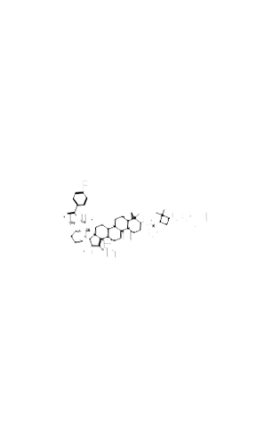 CC(C)C1=C2[C@H]3CC[C@@H]4[C@@]5(C)CC[C@H](OC(=O)[C@H]6C[C@@H](C(=O)O)C6(C)C)C(C)(C)[C@@H]5CC[C@@]4(C)[C@]3(C)CC[C@@]2(C(=O)N2CCC[C@H]2c2ncc(-c3ccc(F)cc3)[nH]2)CC1=O